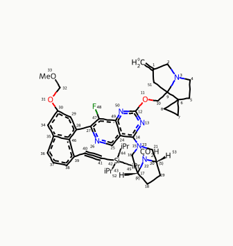 C=C1CN2CCC3(CC3)C2(COc2nc(N3C[C@H]4CC[C@@H](C3)N4C(=O)O)c3cnc(-c4cc(OCOC)cc5cccc(C#C[Si](C(C)C)(C(C)C)C(C)C)c45)c(F)c3n2)C1